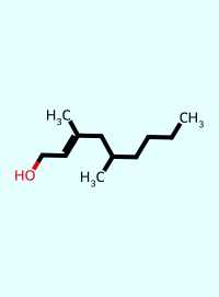 CCCCC(C)CC(C)=CCO